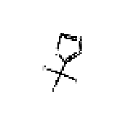 FC(F)(F)c1nncs1